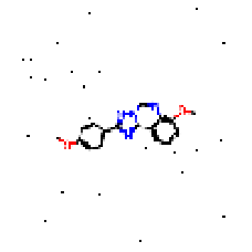 COc1ccc(-c2nc3c4cccc(OC)c4ncn3n2)cc1